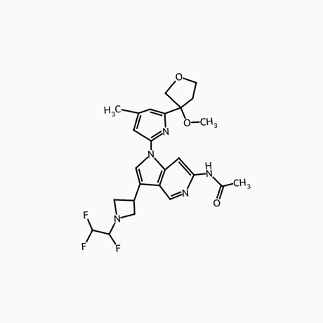 COC1(c2cc(C)cc(-n3cc(C4CN(C(F)C(F)F)C4)c4cnc(NC(C)=O)cc43)n2)CCOC1